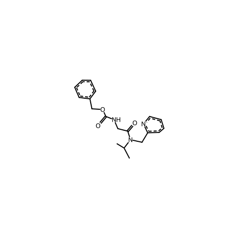 CC(C)N(Cc1ccccn1)C(=O)CNC(=O)OCc1ccccc1